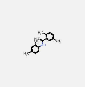 C=C(Nc1ccc(C)cc1C#N)c1cc(C)ccc1C